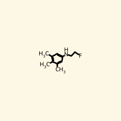 Cc1cc(NCCF)cc(C)c1C